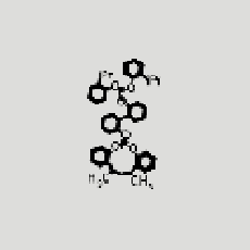 CC(C)c1ccccc1OP(Oc1ccccc1-c1ccccc1OP1Oc2ccccc2C(C)CC(C)c2ccccc2O1)Oc1ccccc1C(C)C